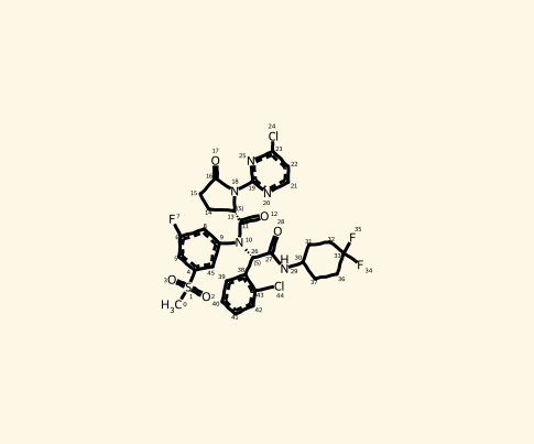 CS(=O)(=O)c1cc(F)cc(N(C(=O)[C@@H]2CCC(=O)N2c2nccc(Cl)n2)[C@H](C(=O)NC2CCC(F)(F)CC2)c2ccccc2Cl)c1